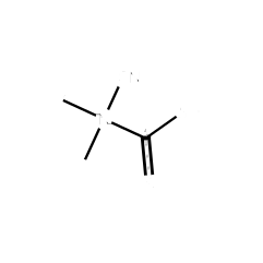 C[N+](C)(C#N)C(=S)[S-]